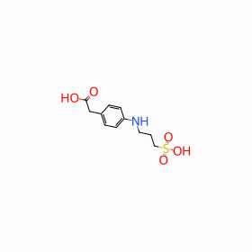 O=C(O)Cc1ccc(NCCCS(=O)(=O)O)cc1